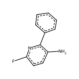 Nc1ccc(F)nc1-c1ccccc1